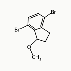 COC1CCc2c(Br)ccc(Br)c21